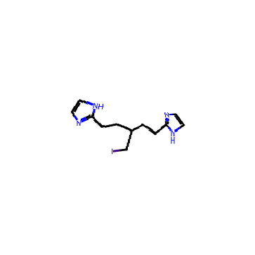 ICC(CCc1ncc[nH]1)CCc1ncc[nH]1